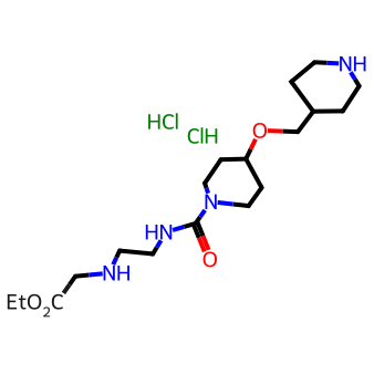 CCOC(=O)CNCCNC(=O)N1CCC(OCC2CCNCC2)CC1.Cl.Cl